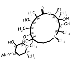 CC[C@H]1OC(=O)[C@H](C)[C@@H](O)[C@H](C)[C@@H](O[C@@H]2O[C@H](C)C[C@H](NC)[C@H]2O)[C@](C)(O)CCCN(C)[C@H](C)[C@@H](O)[C@]1(C)O